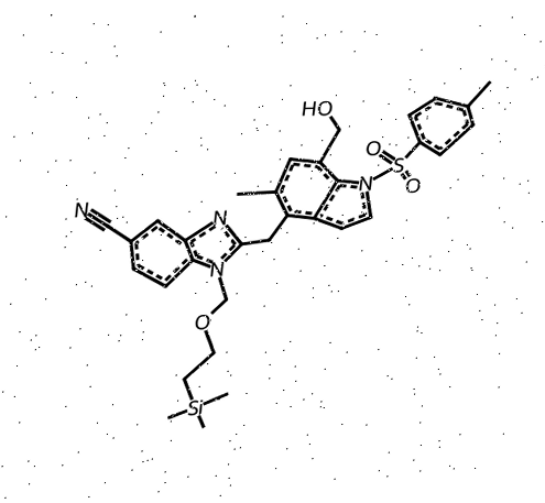 Cc1ccc(S(=O)(=O)n2ccc3c(Cc4nc5cc(C#N)ccc5n4COCC[Si](C)(C)C)c(C)cc(CO)c32)cc1